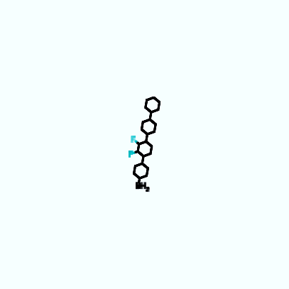 BC1CCC(C2CCC(C3CCC(C4CCCCC4)CC3)C(F)C2F)CC1